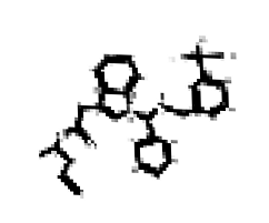 C=CCC(C)OC(=O)Cc1cn(C(NCc2cccc(C(F)(F)F)c2)c2ccccc2)c2ccccc12